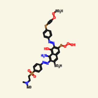 CN(CCS(=O)(=O)c1ccc(N=Nc2c(S(=O)(=O)O)cc3cc(SOOO)c(N=Nc4ccc(SC#COOS(=O)(=O)O)cc4)c(O)c3c2N)cc1)N=O